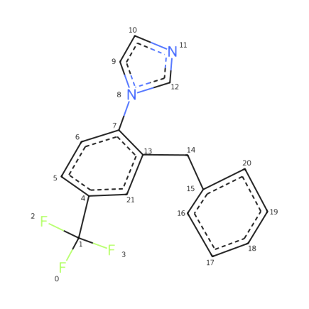 FC(F)(F)c1ccc(-n2ccnc2)c(Cc2ccccc2)c1